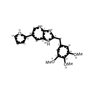 COc1cc(Cc2nc3ncc(-c4ccco4)cc3[nH]2)cc(OC)c1OC